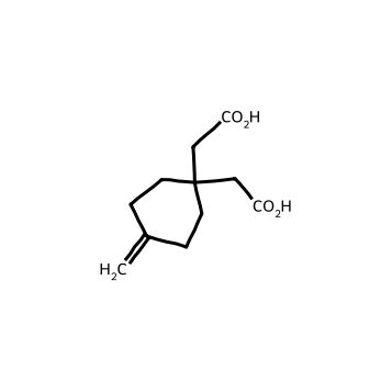 C=C1CCC(CC(=O)O)(CC(=O)O)CC1